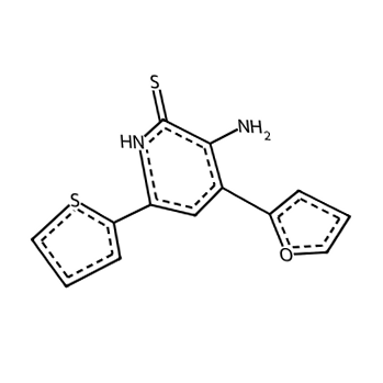 Nc1c(-c2ccco2)cc(-c2cccs2)[nH]c1=S